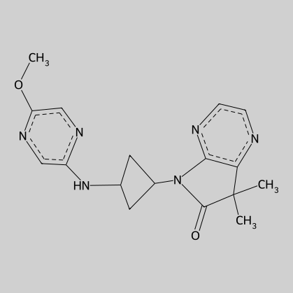 COc1cnc(NC2CC(N3C(=O)C(C)(C)c4nccnc43)C2)cn1